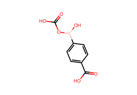 O=C(O)OB(O)c1ccc(C(=O)O)cc1